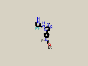 CCOCCN(CC)c1ccc(C2=CC(=N/C)/C(=N\C)C(NCC3CNCCC3(F)F)=N2)cc1